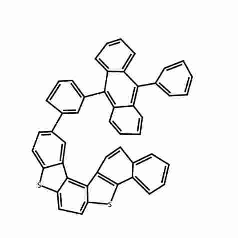 c1ccc(-c2c3ccccc3c(-c3cccc(-c4ccc5sc6ccc7sc8c9ccccc9ccc8c7c6c5c4)c3)c3ccccc23)cc1